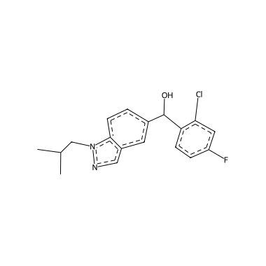 CC(C)Cn1ncc2cc(C(O)c3ccc(F)cc3Cl)ccc21